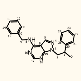 CC(Cn1ncc2c(NCc3ccccc3)ncnc21)c1ccccc1